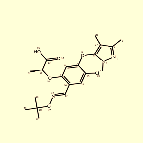 Cc1nn(C)c(Oc2cc(O[C@@H](C)C(=O)O)c(/C=N/OC(C)(C)C)cc2Cl)c1C